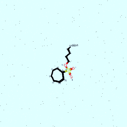 CCCCCCCCCCCCCOS(=O)(=O)C1CCCCCC1